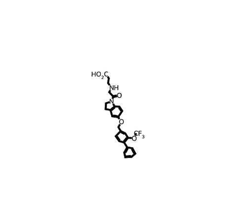 O=C(O)CCNCC(=O)N1CCc2cc(OCc3ccc(-c4ccccc4)c(OC(F)(F)F)c3)ccc21